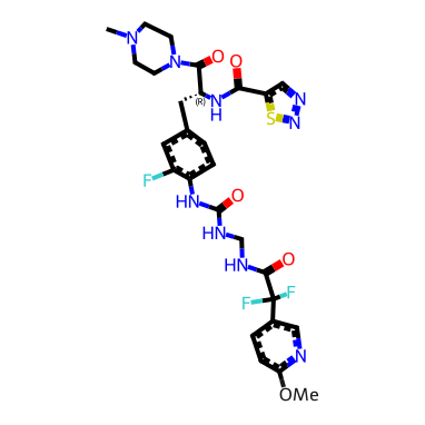 COc1ccc(C(F)(F)C(=O)NCNC(=O)Nc2ccc(C[C@@H](NC(=O)c3cnns3)C(=O)N3CCN(C)CC3)cc2F)cn1